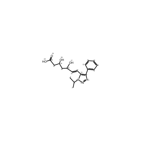 CC(C)n1nnc(-c2ccccc2)c1/C=C/C(O)CC(O)CC(=O)O